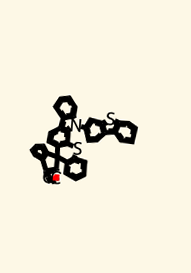 c1ccc2c(c1)Sc1c(ccc3c4ccccc4n(-c4ccc5c(c4)sc4ccccc45)c13)C21c2ccccc2-c2ccccc21